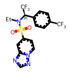 CCN([C@H](c1ccc(C(F)(F)F)cc1)C(F)(F)F)S(=O)(=O)c1ccn2ncnc2c1